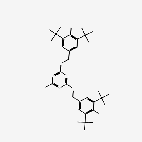 CC(C)(C)c1cc(CSc2nc(Cl)nc(SCc3cc(C(C)(C)C)c(O)c(C(C)(C)C)c3)n2)cc(C(C)(C)C)c1O